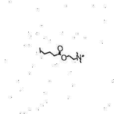 C[N+](C)(C)CCOC(=O)CCCI